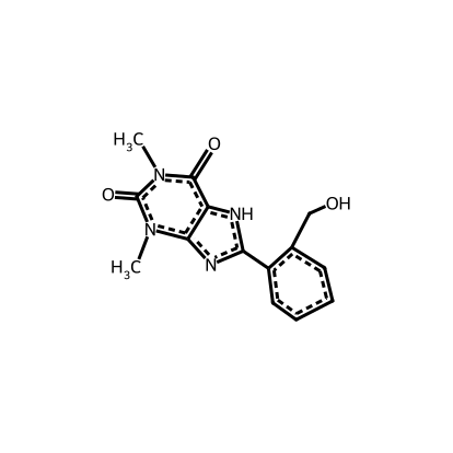 Cn1c(=O)c2[nH]c(-c3ccccc3CO)nc2n(C)c1=O